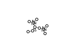 c1ccc(-c2ccc3sc4c(-c5ccc(-c6nc(-c7ccccc7)nc(-c7ccccc7)n6)cc5)cc(-c5nc(-c6ccccc6)nc(-c6ccccc6)n5)cc4c3c2)cc1